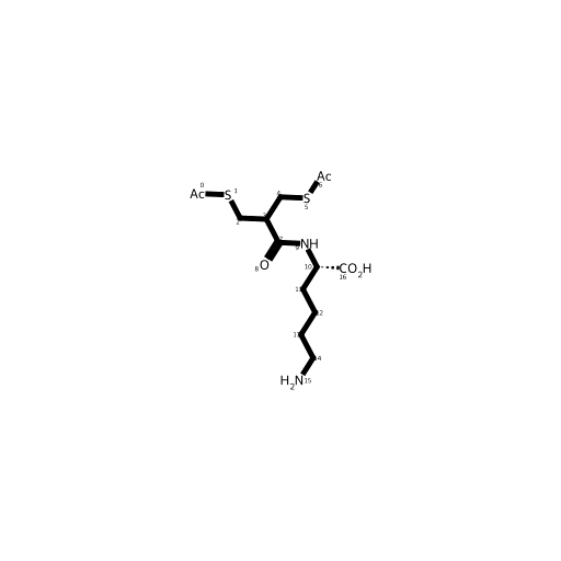 CC(=O)SCC(CSC(C)=O)C(=O)N[C@@H](CCCCN)C(=O)O